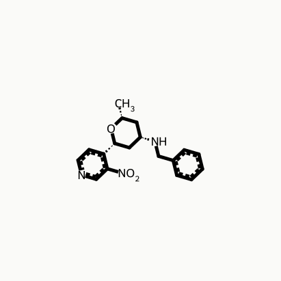 C[C@@H]1C[C@H](NCc2ccccc2)C[C@H](c2ccncc2[N+](=O)[O-])O1